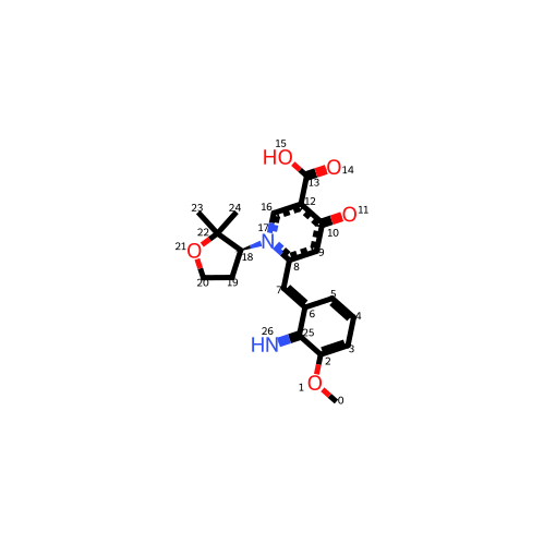 COC1=CC=C/C(=C\c2cc(=O)c(C(=O)O)cn2[C@H]2CCOC2(C)C)C1=N